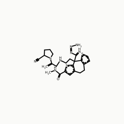 C=C(CNCCC1(C(=N)/N=N\N)c2sccc2CCc2cc(C(=O)NC)sc21)N1CCCC1C#N